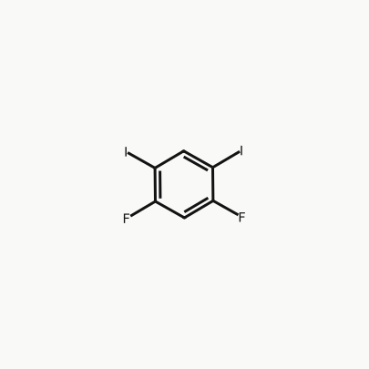 Fc1cc(F)c(I)cc1I